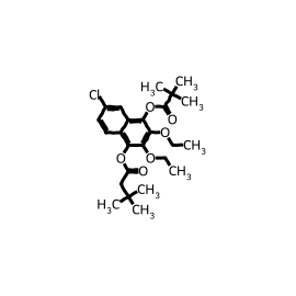 CCOc1c(OCC)c(OC(=O)C(C)(C)C)c2cc(Cl)ccc2c1OC(=O)CC(C)(C)C